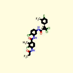 Cc1c(C(=O)Nc2cc(NC(=O)[C@H]3[C@H](c4ccc(F)c(C(F)(F)F)c4)C3(Cl)Cl)ccc2Cl)ccc(NC(=O)CC(F)(F)F)c1F